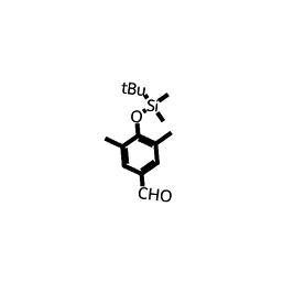 Cc1cc(C=O)cc(C)c1O[Si](C)(C)C(C)(C)C